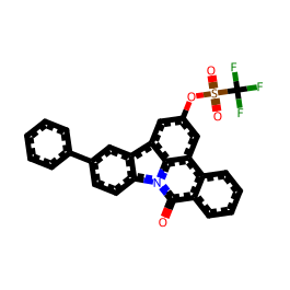 O=c1c2ccccc2c2cc(OS(=O)(=O)C(F)(F)F)cc3c4cc(-c5ccccc5)ccc4n1c23